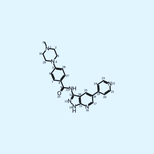 CN1CCN(c2ccc(C(=O)Nc3n[nH]c4ncc(-c5ccncc5)cc34)cc2)CC1